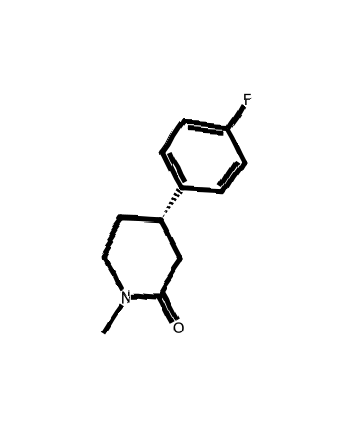 CN1CC[C@H](c2ccc(F)cc2)CC1=O